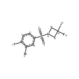 O=S(=O)(c1ccc(F)c(Br)c1)N1CC(F)(F)C1